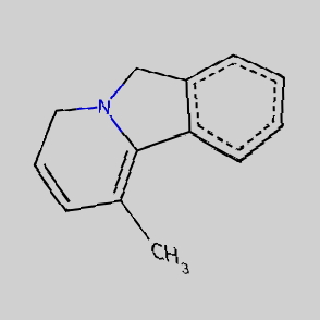 CC1=C2c3ccccc3CN2CC=C1